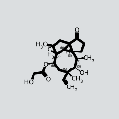 C=C[C@]1(C)C[C@@H](OC(=O)CO)[C@]2(C)C(C)CC34C(=O)CC[C@@]3([C@@H](C)[C@@H]1O)[C@@H]42